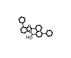 OC1c2ccc(-c3ccccc3)c3cccc(c23)-c2nc3c(-c4ccccc4)cccc3n21